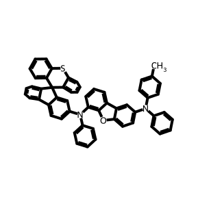 Cc1ccc(N(c2ccccc2)c2ccc3oc4c(N(c5ccccc5)c5ccc6c(c5)C5(c7ccccc7Sc7ccccc75)c5ccccc5-6)cccc4c3c2)cc1